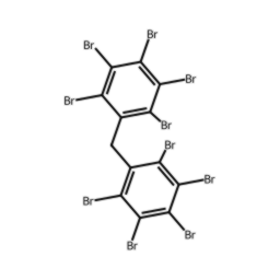 Brc1c(Br)c(Br)c(Cc2c(Br)c(Br)c(Br)c(Br)c2Br)c(Br)c1Br